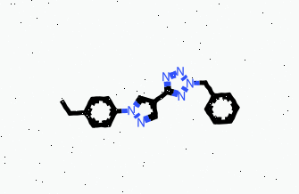 CCc1ccc(-n2cc(-c3nnn(Cc4ccccc4)n3)cn2)cc1